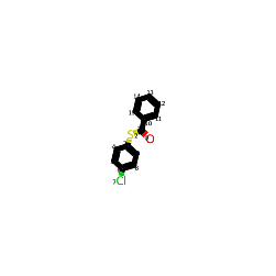 O=C(Sc1ccc(Cl)cc1)c1ccccc1